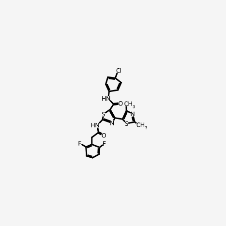 Cc1nc(C)c(-c2nc(NC(=O)Cc3c(F)cccc3F)sc2C(=O)Nc2ccc(Cl)cc2)s1